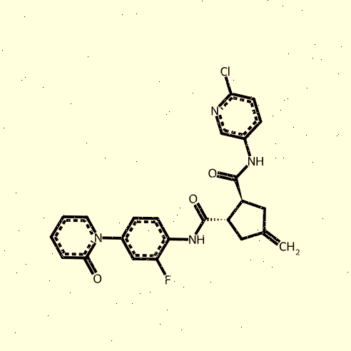 C=C1C[C@H](C(=O)Nc2ccc(Cl)nc2)[C@@H](C(=O)Nc2ccc(-n3ccccc3=O)cc2F)C1